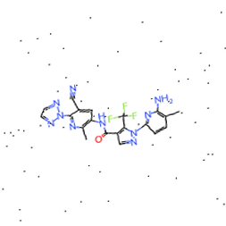 Cc1ccc(-n2ncc(C(=O)Nc3cc(C#N)c(-n4nccn4)nc3C)c2C(F)(F)F)nc1N